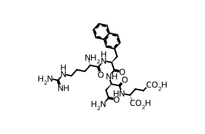 N=C(N)NCCC[C@H](N)C(=O)N[C@@H](Cc1ccc2ccccc2c1)C(=O)N[C@H](CC(N)=O)C(=O)N[C@H](CCC(=O)O)C(=O)O